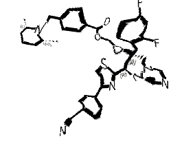 C[C@@H]1CCC[C@H](C)N1Cc1ccc(C(=O)OCO[C@@](Cn2cncn2)(c2ccc(F)cc2F)[C@@H](C)c2nc(-c3ccc(C#N)cc3)cs2)cc1